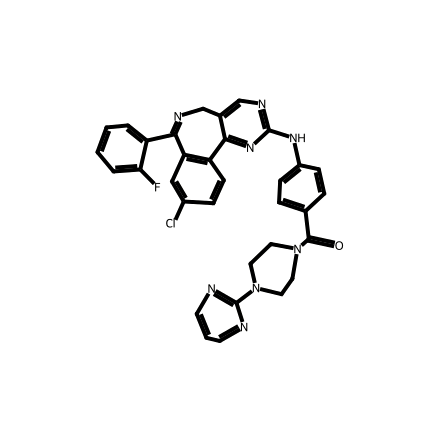 O=C(c1ccc(Nc2ncc3c(n2)-c2ccc(Cl)cc2C(c2ccccc2F)=NC3)cc1)N1CCN(c2ncccn2)CC1